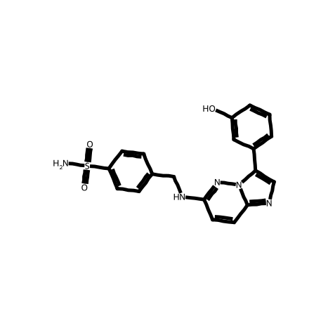 NS(=O)(=O)c1ccc(CNc2ccc3ncc(-c4cccc(O)c4)n3n2)cc1